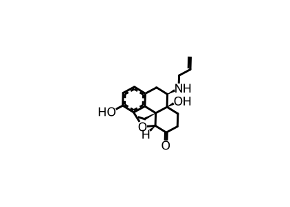 C=CCN[C@@H]1Cc2ccc(O)c3c2[C@@]2(CC)[C@@H](O3)C(=O)CC[C@@]12O